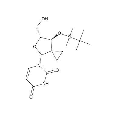 CC(C)(C)[Si](C)(C)O[C@@H]1[C@@H](CO)O[C@@H](n2ccc(=O)[nH]c2=O)C12CC2